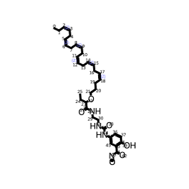 CC/C=C\C/C=C\C/C=C\C/C=C\C/C=C\C/C=C\CCCOC(CC)C(=O)NCCNC(=O)Nc1ccc(O)c(C(=O)N=O)c1